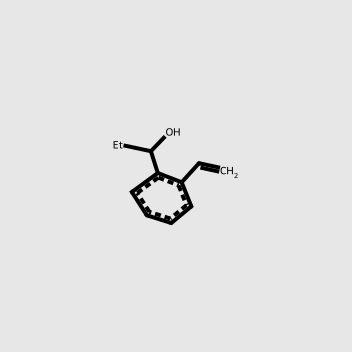 C=Cc1ccccc1C(O)CC